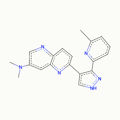 Cc1cccc(-c2n[nH]cc2-c2ccc3ncc(N(C)C)cc3n2)n1